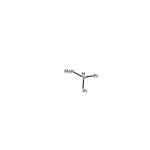 C[N][SiH](C(C)C)C(C)C